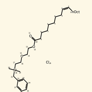 CCCCCCCC/C=C\CCCCCCCC(=O)OCCOCC[N+](C)(C)Cc1ccccc1.[Cl-]